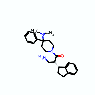 CN(C)C1(c2ccccc2)CCN(C(=O)C(CN)[C@H]2CCc3ccccc32)CC1